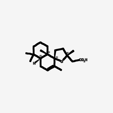 CC1=CC[C@H]2C(C)(C)CCC[C@]2(C)[C@@]12CC[C@](C)(CC(=O)O)O2